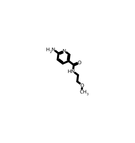 COCCNC(=O)c1ccc(N)nc1